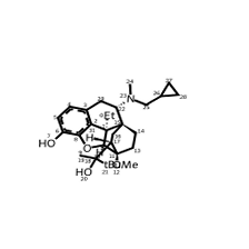 CC[C@@]12c3c4ccc(O)c3O[C@@H]1[C@@]1(OC)CC[C@]2(C[C@H]1C(C)(O)C(C)(C)C)[C@@H](N(C)CC1CC1)C4